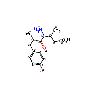 CCCC(Cc1ccc(Br)cc1)C(=O)C(N)C(C)CC(=O)O